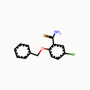 NC(=S)c1cc(Br)ccc1OCc1ccccc1